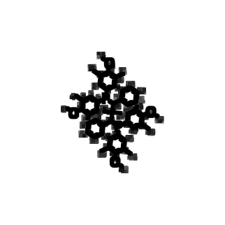 COc1c(C)cc(P(c2cc(C)c(OC)c(C)c2)C(c2ccccc2)C(C)(C)C(c2ccccc2)P(c2cc(C)c(OC)c(C)c2)c2cc(C)c(OC)c(C)c2)cc1C